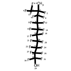 CC(F)(C(F)(F)F)C(F)(F)C(F)(F)C(F)(F)C(F)(F)C(F)(F)C(F)(F)C(F)(F)C(O)(F)F